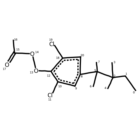 CCC(C)(C)C(C)(C)c1cc(Cl)c(OOC(C)=O)c(Cl)c1